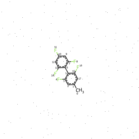 Cc1cc(F)c(-c2c(F)cc(F)cc2F)c(F)c1